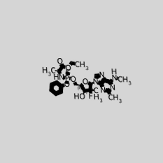 CCOC(=O)[C@@H](C)NP(=S)(OC[C@H]1O[C@@H](n2cnc3c(NC)nc(C)nc32)[C@](C)(F)[C@@H]1O)Oc1ccccc1